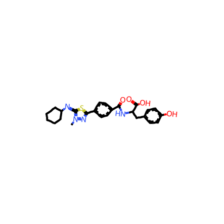 Cn1nc(-c2ccc(C(=O)NC(Cc3ccc(O)cc3)C(=O)O)cc2)s/c1=N/C1CCCCC1